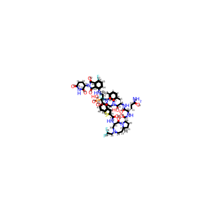 CC(C)(C)c1ccc(C[C@H](NC(=O)[C@H](CCC(N)=O)NC(=O)[C@@H]2CC[C@@H]3CCN(CC(F)F)C[C@H](NC(=O)c4cc5cc(C(F)(F)P(=O)(O)O)ccc5s4)C(=O)N32)C(O)N2CCN(CCNc3ccc(F)c4c3C(=O)N(C3CCC(=O)NC3=O)C4=O)CC2)cc1